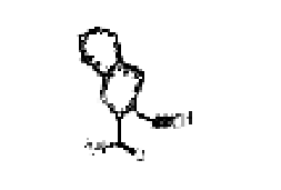 C#Cc1cc2ccccc2nc1C(N)=O